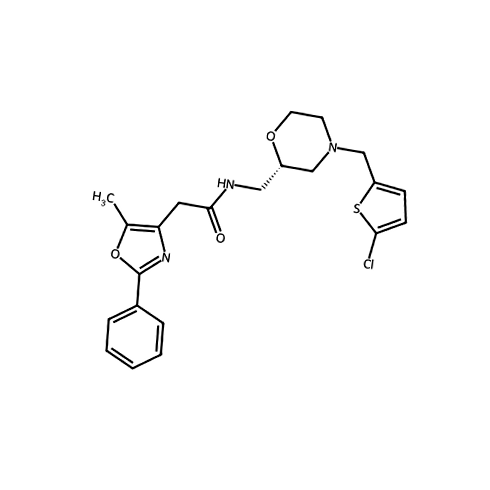 Cc1oc(-c2ccccc2)nc1CC(=O)NC[C@H]1CN(Cc2ccc(Cl)s2)CCO1